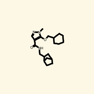 Cn1ncc(C(=O)NCC2CC3CCC2C3)c1OCC1CCCCC1